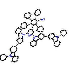 N#Cc1c(-c2ccccc2)c(-c2ccccc2)c(-c2ccccc2)c(-c2cc(-n3c4ccccc4c4cc(-c5ccc6c(c5)c5ccccc5n6-c5ccccc5)ccc43)nc(-n3c4ccccc4c4cc(-c5ccc6c(c5)c5ccccc5n6-c5ccccc5)ccc43)c2)c1-c1ccccc1